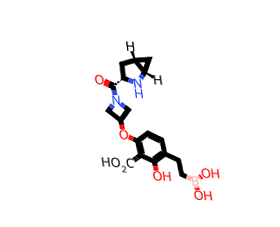 O=C(O)c1c(OC2CN(C(=O)[C@@H]3C[C@@H]4C[C@@H]4N3)C2)ccc(CCB(O)O)c1O